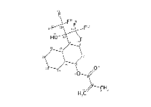 C=C(C)C(=O)OC1CCC(C(O)(C(F)(F)F)C(F)(F)F)C2CCCCC12